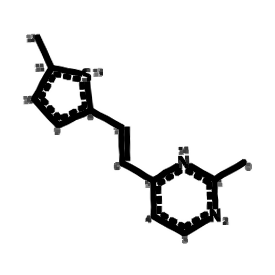 Cc1nccc(/C=C/c2ccc(C)s2)n1